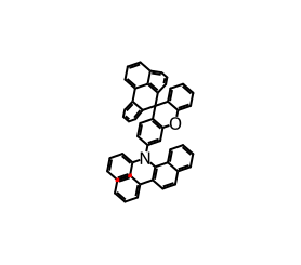 c1ccc(-c2ccc3ccccc3c2N(c2ccccc2)c2ccc3c(c2)Oc2ccccc2C32c3ccccc3-c3cccc4cccc2c34)cc1